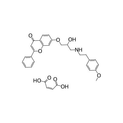 COc1ccc(CCNCC(O)COc2ccc3c(=O)cc(-c4ccccc4)oc3c2)cc1.O=C(O)/C=C\C(=O)O